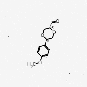 COc1ccc([C@@H]2CO[C@@H](C=O)CO2)cc1